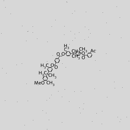 COc1ccc(C(C)(C)c2ccc(OC(=O)c3ccc(C(=O)COc4ccc(C(C)(C)c5ccc(OC(=O)c6cccc(C(C)=O)c6)c(C)c5)cc4C)cc3)c(C)c2)cc1C